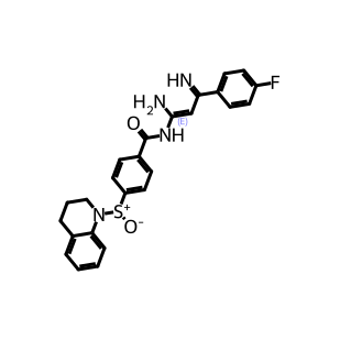 N=C(/C=C(\N)NC(=O)c1ccc([S+]([O-])N2CCCc3ccccc32)cc1)c1ccc(F)cc1